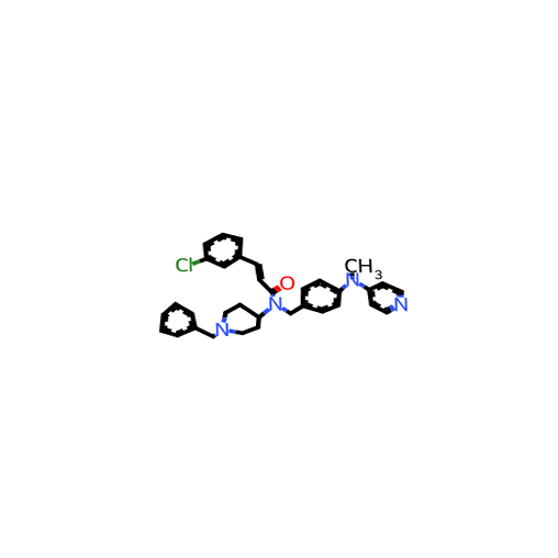 CN(c1ccncc1)c1ccc(CN(C(=O)/C=C/c2cccc(Cl)c2)C2CCN(Cc3ccccc3)CC2)cc1